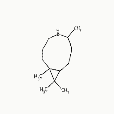 CC1BCCCC2(C)C(CC1)C2(C)C